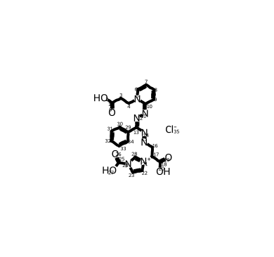 O=C(O)CCn1ccccc1=NN=C(N=NCC(C(=O)O)[n+]1ccn(C(=O)O)c1)c1ccccc1.[Cl-]